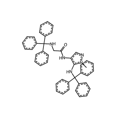 Cn1ncc(NC(=O)CNC(c2ccccc2)(c2ccccc2)c2ccccc2)c1NC(c1ccccc1)(c1ccccc1)c1ccccc1